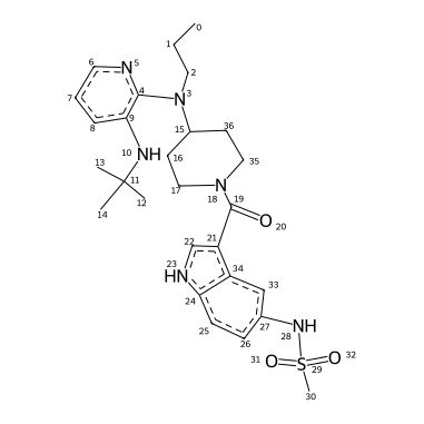 CCCN(c1ncccc1NC(C)(C)C)C1CCN(C(=O)c2c[nH]c3ccc(NS(C)(=O)=O)cc23)CC1